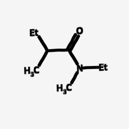 CCC(C)C(=O)N(C)CC